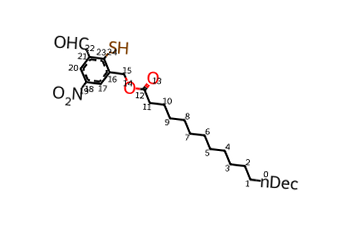 CCCCCCCCCCCCCCCCCCCCCC(=O)OCc1cc([N+](=O)[O-])cc(C=O)c1S